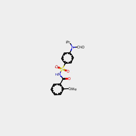 COc1ccccc1C(=O)NS(=O)(=O)c1ccc(N(C=O)C(C)C)cc1